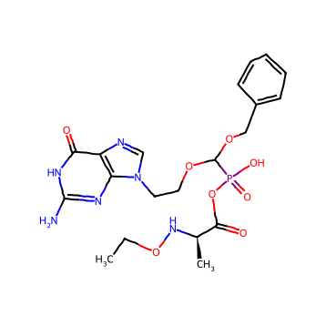 CCON[C@H](C)C(=O)OP(=O)(O)C(OCCn1cnc2c(=O)[nH]c(N)nc21)OCc1ccccc1